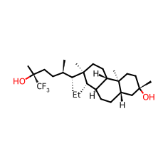 CC[C@H]1[C@@H]2CC[C@H]3C[C@@](C)(O)CC[C@]3(C)[C@H]2CC[C@]1(C)[C@H](C)[C@H](C)CC[C@@](C)(O)C(F)(F)F